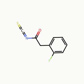 O=C(Cc1ccccc1F)N=C=S